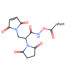 CCCCCC(=O)ONC(=O)C(CN1C(=O)C=CC1=O)N1C(=O)CCC1=O